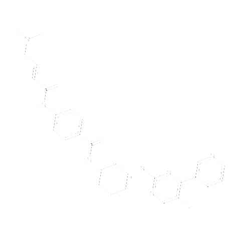 CN(C)C/C=C/C(=O)Nc1ccc(C(=O)N[C@H]2CCC[C@@H](Nc3ncc(Cl)c(-c4cccnc4)n3)C2)cc1